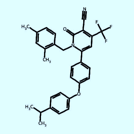 Cc1ccc(Cn2c(-c3ccc(Oc4ccc(C(C)C)cc4)cc3)cc(C(F)(F)F)c(C#N)c2=O)c(C)c1